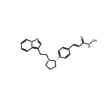 O=C(/C=C/c1ccc([C@@H]2CCCN2CCc2cnn3ccccc23)cc1)NO